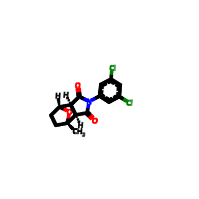 C[C@@]12CC[C@@H](O1)[C@H]1C(=O)N(c3cc(Cl)cc(Cl)c3)C(=O)[C@H]12